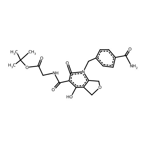 CC(C)(C)OC(=O)CNC(=O)c1c(O)c2c(n(Cc3ccc(C(N)=O)cc3)c1=O)COC2